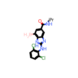 Bc1cc(C(=O)NC(C)C)cc2nc(Nc3c(Cl)cccc3Cl)[nH]c12